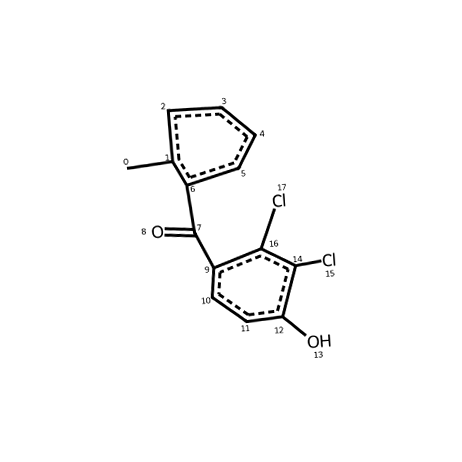 Cc1ccccc1C(=O)c1ccc(O)c(Cl)c1Cl